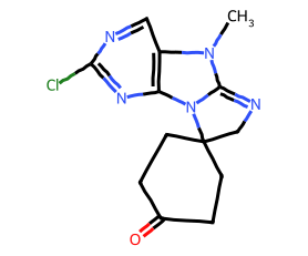 CN1C2=NCC3(CCC(=O)CC3)N2c2nc(Cl)ncc21